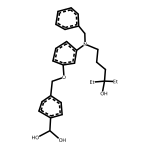 CCC(O)(CC)CCCN(Cc1ccccc1)c1cccc(OCc2ccc(C(O)O)cc2)c1